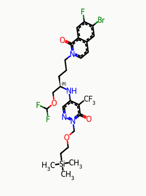 C[Si](C)(C)CCOCn1ncc(N[C@H](CCCn2ccc3cc(Br)c(F)cc3c2=O)COC(F)F)c(C(F)(F)F)c1=O